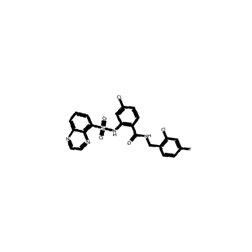 O=C(NCc1ccc(F)cc1Cl)c1ccc(Cl)cc1NS(=O)(=O)c1cccc2nccnc12